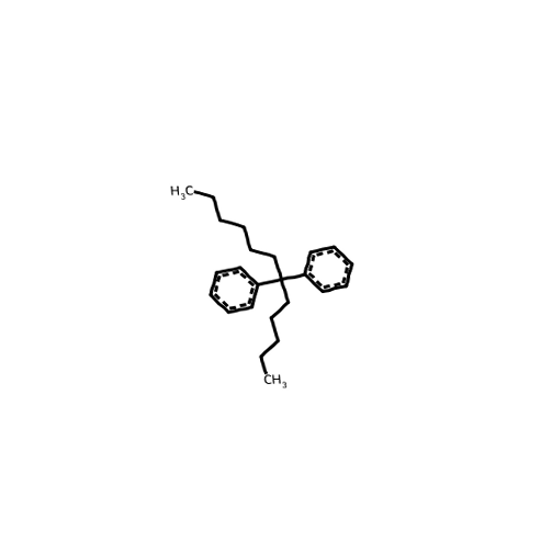 CCCCCCC(CCCCC)(c1ccccc1)c1ccccc1